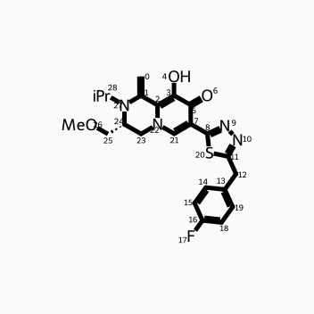 C=C1c2c(O)c(=O)c(-c3nnc(Cc4ccc(F)cc4)s3)cn2C[C@H](COC)N1C(C)C